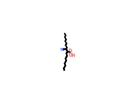 CCCCCCCC/C(C#N)=C(/CCCCCCCC)C(=O)O